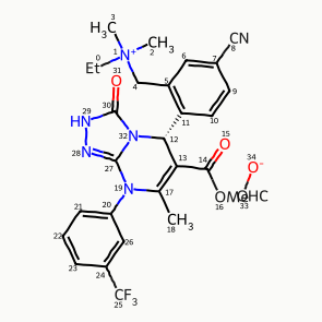 CC[N+](C)(C)Cc1cc(C#N)ccc1[C@@H]1C(C(=O)OC)=C(C)N(c2cccc(C(F)(F)F)c2)c2n[nH]c(=O)n21.O=C[O-]